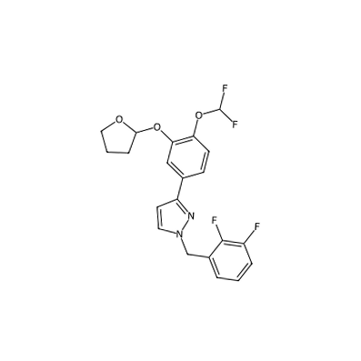 Fc1cccc(Cn2ccc(-c3ccc(OC(F)F)c(OC4CCCO4)c3)n2)c1F